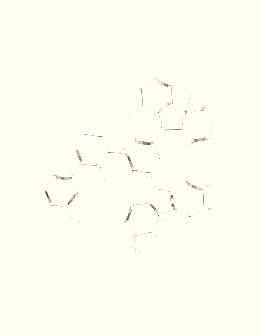 CC1CC=CC2=C1N(C1=CC(C3CCC=C(c4cccc(C#N)c4)N3C)=CC(n3c4c(c5c3C=CC(C#N)C5)CCC=C4)C1)C1C=CCCC21C